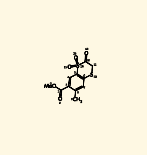 COC(=O)c1cc2c(cc1C)SCC(=O)S2(=O)=O